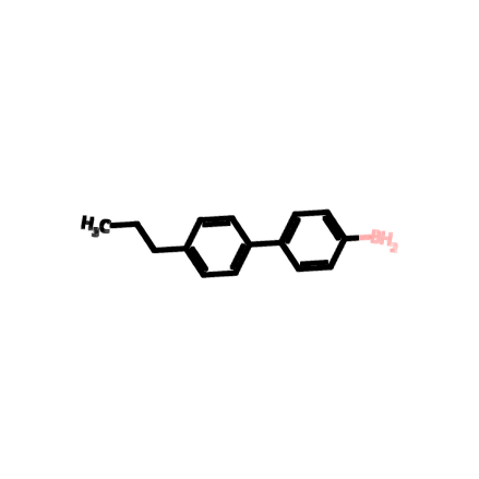 Bc1ccc(-c2ccc(CCC)cc2)cc1